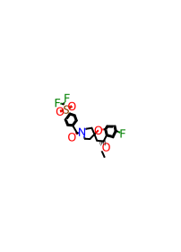 CCO[C@@H]1CC2(CCN(C(=O)c3ccc(S(=O)(=O)C(F)F)cc3)CC2)Oc2ccc(F)cc21